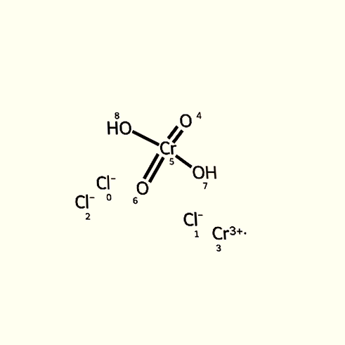 [Cl-].[Cl-].[Cl-].[Cr+3].[O]=[Cr](=[O])([OH])[OH]